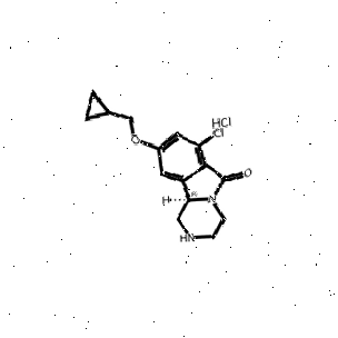 Cl.O=C1c2c(Cl)cc(OCC3CC3)cc2[C@@H]2CNCCN12